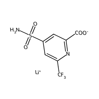 NS(=O)(=O)c1cc(C(=O)[O-])nc(C(F)(F)F)c1.[Li+]